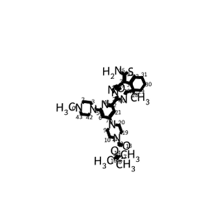 CN1CCN(c2cc(N3CCN(C(=O)OC(C)(C)C)CC3)cc(-c3noc(C4(C)CCCc5sc(N)c(C#N)c54)n3)n2)CC1